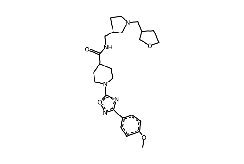 COc1ccc(-c2noc(N3CCC(C(=O)NCC4CCN(CC5CCOC5)C4)CC3)n2)cc1